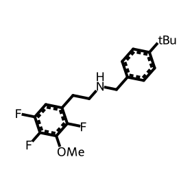 COc1c(F)c(F)cc(CCNCc2ccc(C(C)(C)C)cc2)c1F